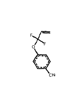 C=CC(F)(F)Oc1ccc(C#N)cc1